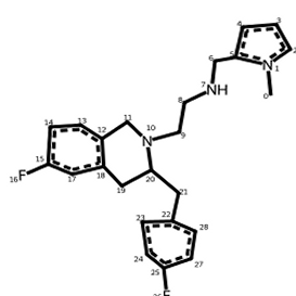 Cn1cccc1CNCCN1Cc2ccc(F)cc2CC1Cc1ccc(F)cc1